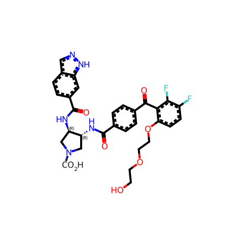 O=C(N[C@@H]1CN(C(=O)O)C[C@H]1NC(=O)c1ccc2cn[nH]c2c1)c1ccc(C(=O)c2c(OCCOCCO)ccc(F)c2F)cc1